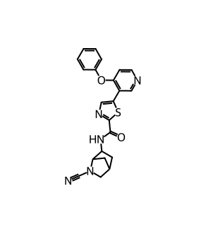 N#CN1CC2CC(NC(=O)c3ncc(-c4cnccc4Oc4ccccc4)s3)C1C2